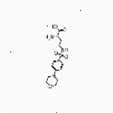 N[C@@H](CCNS(=O)(=O)c1ccc(N2CCOCC2)cc1)C(=O)O